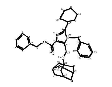 O=C(OCc1ccccc1)c1nc(C2CCCCC2)n(Cc2ccccc2)c1COC12CC3CC(CC(C3)C1)C2